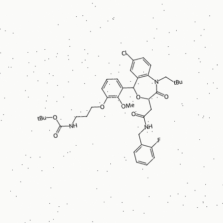 COc1c(OCCCNC(=O)OC(C)(C)C)cccc1C1OC(CC(=O)NCc2ccccc2F)C(=O)N(CC(C)(C)C)c2ccc(Cl)cc21